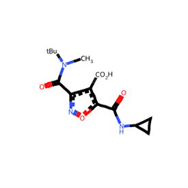 CN(C(=O)c1noc(C(=O)NC2CC2)c1C(=O)O)C(C)(C)C